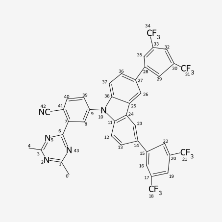 Cc1nc(C)nc(-c2cc(-n3c4ccc(-c5cc(C(F)(F)F)cc(C(F)(F)F)c5)cc4c4cc(-c5cc(C(F)(F)F)cc(C(F)(F)F)c5)ccc43)ccc2C#N)n1